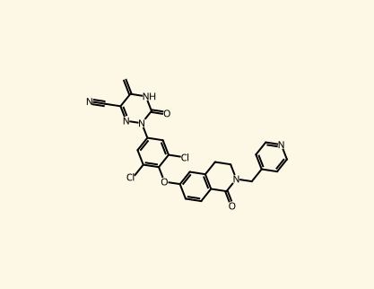 C=C1NC(=O)N(c2cc(Cl)c(Oc3ccc4c(c3)CCN(Cc3ccncc3)C4=O)c(Cl)c2)N=C1C#N